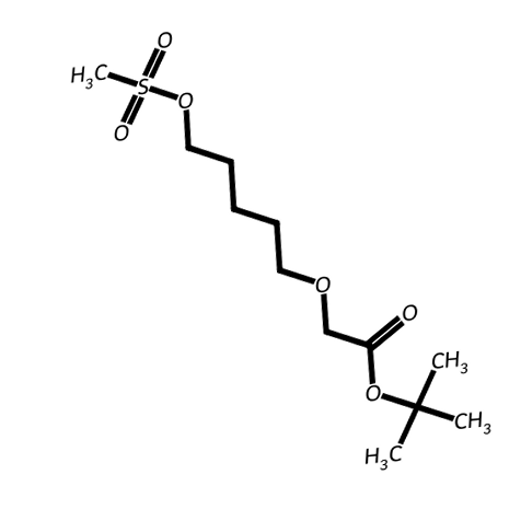 CC(C)(C)OC(=O)COCCCCCOS(C)(=O)=O